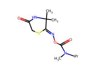 CC(C)N(C)C(=O)ON=C1SCC(=O)NC1(C)C